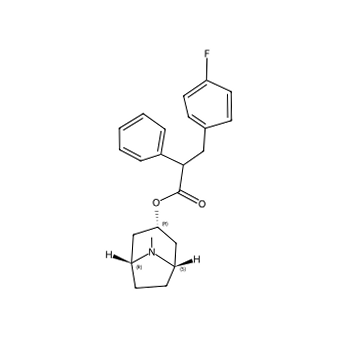 CN1[C@@H]2CC[C@H]1C[C@@H](OC(=O)C(Cc1ccc(F)cc1)c1ccccc1)C2